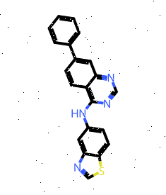 c1ccc(-c2ccc3c(Nc4ccc5scnc5c4)ncnc3c2)cc1